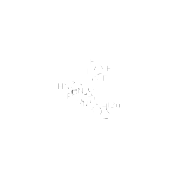 CC(C)C[C@H](NC(=O)C(=O)Nc1ccccc1C(C)(C)C)C(=O)N[C@@H](C[C@@H]1CCNC1=O)C(=O)COc1c(F)c(F)cc(F)c1F